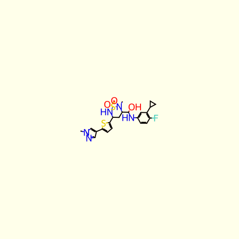 CN1C(C(O)Nc2ccc(F)c(C3CC3)c2)CC(c2ccc(-c3cnn(C)c3)s2)NS1(=O)=O